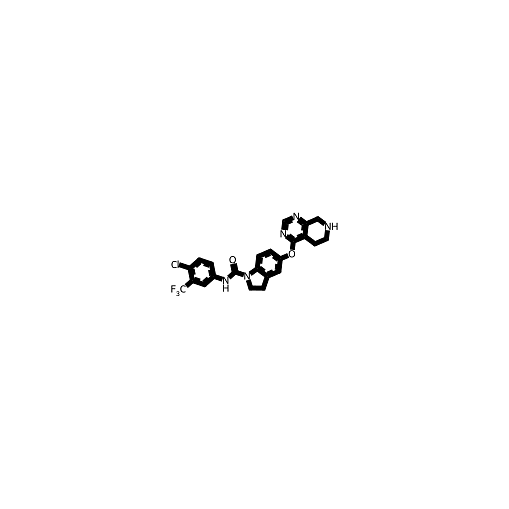 O=C(Nc1ccc(Cl)c(C(F)(F)F)c1)N1CCc2cc(Oc3ncnc4c3CCNC4)ccc21